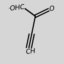 C#CC(=O)[C]=O